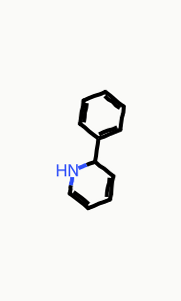 C1=CNC(c2ccccc2)C=C1